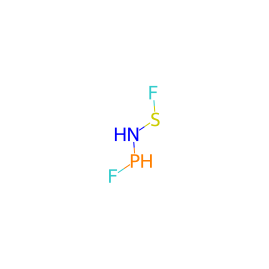 FPNSF